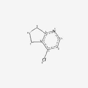 Clc1c[c]nc2c1CCC2